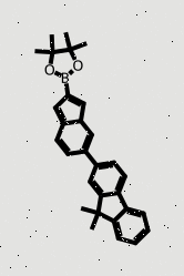 CC1(C)c2ccccc2-c2ccc(C3=CC4C=C(B5OC(C)(C)C(C)(C)O5)C=C4C=C3)cc21